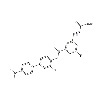 C=C(/C=C/c1cc(F)cc(N(C)Cc2ccc(-c3ccc(N(C)C)cc3)cc2F)c1)OC